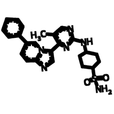 Cc1cnc(NC2CCC(S(N)(=O)=O)CC2)nc1-c1cnc2ccc(-c3ccccc3)cn12